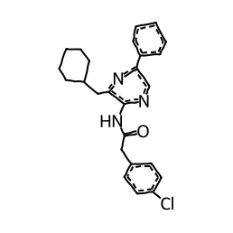 O=C(Cc1ccc(Cl)cc1)Nc1ncc(-c2ccccc2)nc1CC1CCCCC1